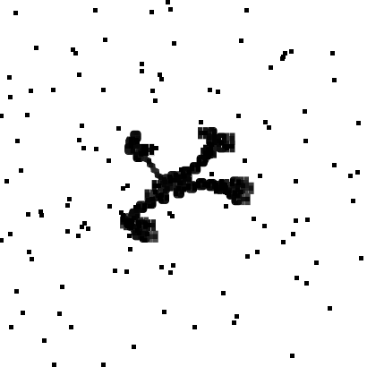 O=C(CCCCCCCCCCC(=O)NC(CCC(=O)NCCOCCOCCOCc1cn(C[C@@H]2CO[C@H](CO)[C@H](O)[C@@H]2O)nn1)(CCC(=O)NCCOCCOCCOCc1cn(C[C@@H]2CO[C@H](CO)[C@H](O)[C@@H]2O)nn1)CCC(=O)NCCOCCOCCOCc1cn(C[C@@H]2CO[C@H](CO)[C@H](O)[C@@H]2O)nn1)NCCN1C(=O)C=CC1=O